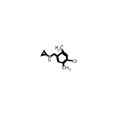 Cc1cc(CNC2CC2)c(C)cc1Cl